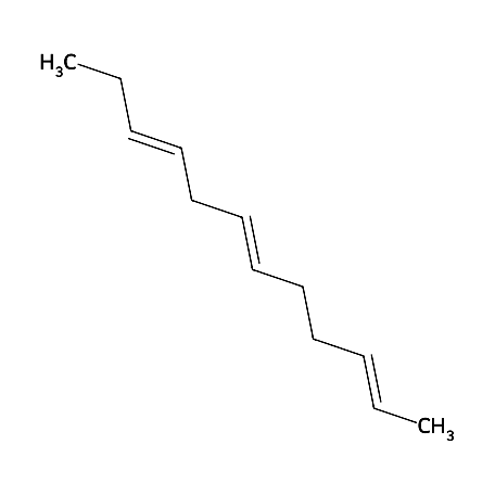 C/C=C/CC/C=C/C/C=C/CC